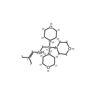 CC(C)=C[SiH2]C[Si](N1CCOCC1)(N1CCOCC1)N1CCOCC1